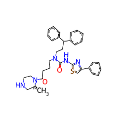 C[C@H]1CNCCN1C(=O)CCCN(CCC(c1ccccc1)c1ccccc1)C(=O)Nc1nc(-c2ccccc2)cs1